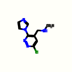 O=C(O)NCc1cc(Cl)nnc1-n1ccnc1